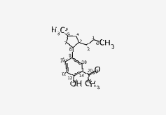 CCCC1CC(C)CC1c1ccc(O)c(C(C)=O)c1